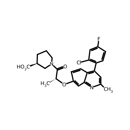 Cc1cc(-c2ccc(F)cc2Cl)c2ccc(O[C@H](C)C(=O)N3CCC[C@H](C(=O)O)C3)cc2n1